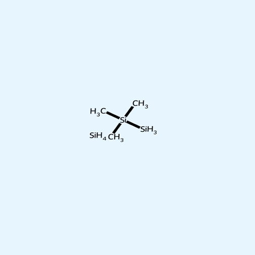 C[Si](C)(C)[SiH3].[SiH4]